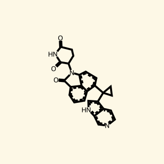 O=C1CCC(N2C(=O)c3cccc4c(C5(c6c[nH]c7cnccc67)CC5)ccc2c34)C(=O)N1